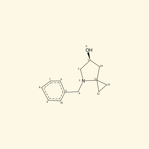 O[C@@H]1CN(Cc2ccccc2)C2(CC2)C1